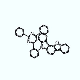 c1ccc(-c2cc(-c3ccccc3-n3c4ccccc4c4c5oc6ccccc6c5ccc43)nc(-c3ccccc3)n2)cc1